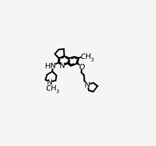 Cc1cc2c3c(c(NC4CCN(C)CC4)nc2cc1OCCCN1CCCC1)CCC3